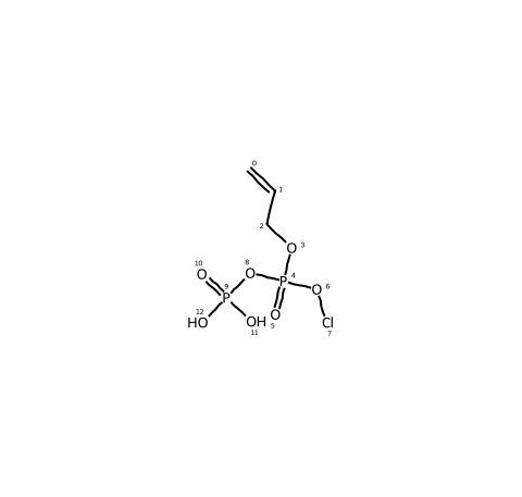 C=CCOP(=O)(OCl)OP(=O)(O)O